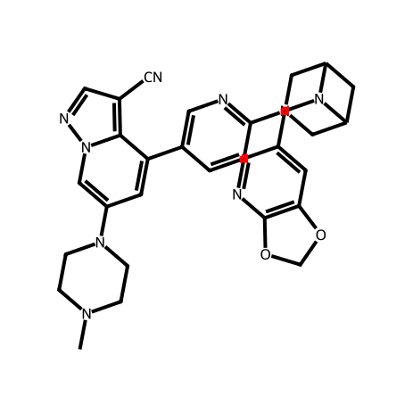 CN1CCN(c2cc(-c3ccc(N4CC5CC(C4)N5Cc4cnc5c(c4)OCO5)nc3)c3c(C#N)cnn3c2)CC1